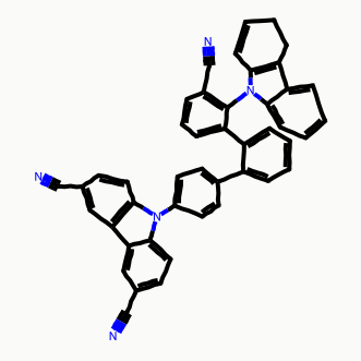 N#Cc1ccc2c(c1)c1cc(C#N)ccc1n2-c1ccc(-c2ccccc2-c2cccc(C#N)c2-n2c3c(c4ccccc42)CCC=C3)cc1